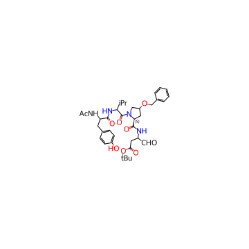 CC(=O)NC(Cc1ccc(O)cc1)C(=O)NC(C(=O)N1CC(OCc2ccccc2)C[C@H]1C(=O)NC(C=O)CC(=O)OC(C)(C)C)C(C)C